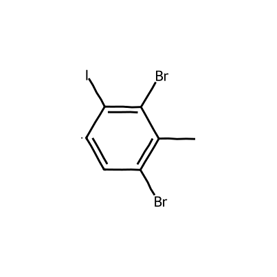 Cc1c(Br)c[c]c(I)c1Br